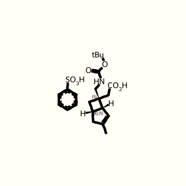 CC1=C[C@@H]2[C@H](C1)C[C@]2(CNC(=O)OC(C)(C)C)CC(=O)O.O=S(=O)(O)c1ccccc1